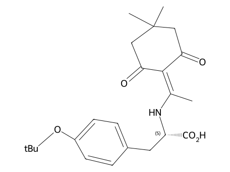 CC(N[C@@H](Cc1ccc(OC(C)(C)C)cc1)C(=O)O)=C1C(=O)CC(C)(C)CC1=O